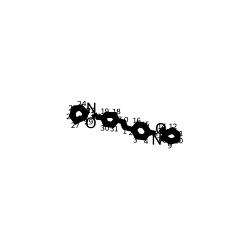 C(=Cc1ccc(-c2nc3ccccc3o2)cc1)c1ccc(-c2nc3ccccc3o2)cc1